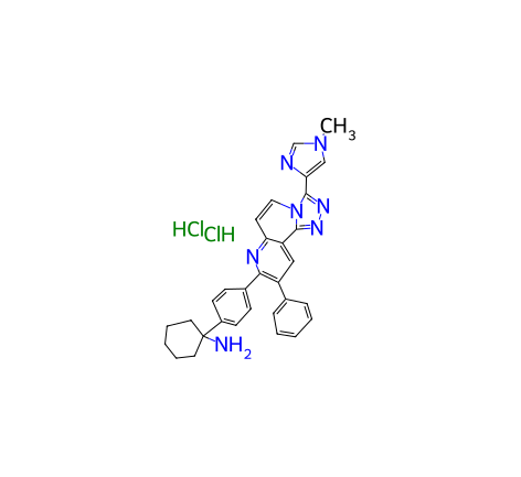 Cl.Cl.Cn1cnc(-c2nnc3c4cc(-c5ccccc5)c(-c5ccc(C6(N)CCCCC6)cc5)nc4ccn23)c1